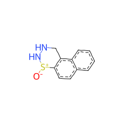 [O-][S+]1NNCc2c1ccc1ccccc21